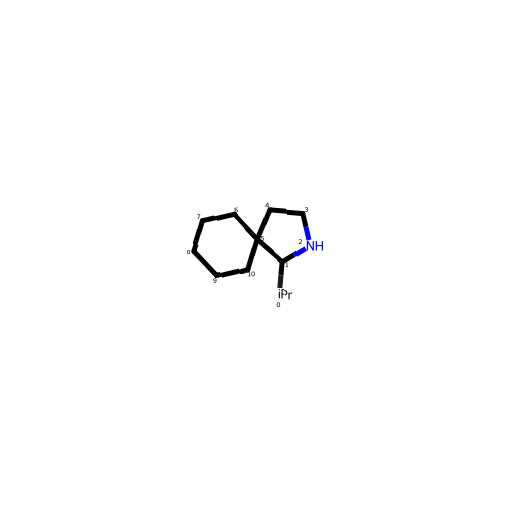 CC(C)C1NCCC12CCCCC2